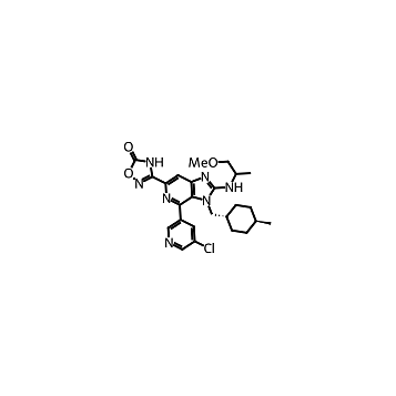 COCC(C)Nc1nc2cc(-c3noc(=O)[nH]3)nc(-c3cncc(Cl)c3)c2n1C[C@H]1CC[C@H](C)CC1